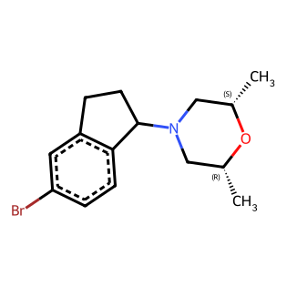 C[C@@H]1CN(C2CCc3cc(Br)ccc32)C[C@H](C)O1